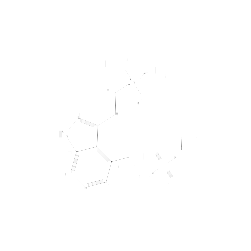 COS(=O)(=O)[O-].C[N+](C)(C)CCc1c[nH]c2cccc(O)c12